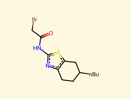 CCCCC1CCc2nc(NC(=O)CBr)sc2C1